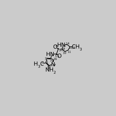 Cc1cc(NC(=O)C(=O)[C@H]2CCC(C)CN2)cnc1N